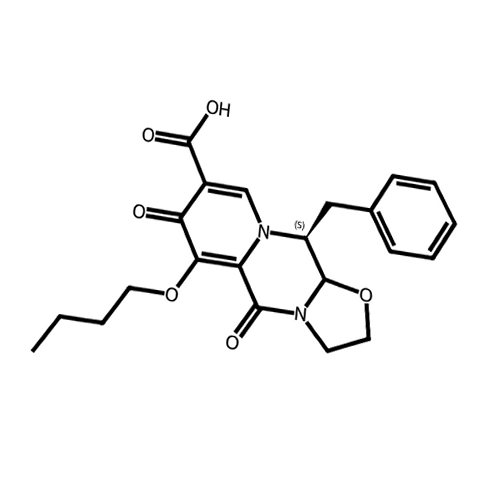 CCCCOc1c2n(cc(C(=O)O)c1=O)[C@@H](Cc1ccccc1)C1OCCN1C2=O